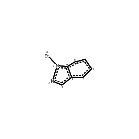 [CH2]Cn1ncc2ccccc21